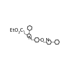 CCOC(=O)CCc1cn(Cc2ccc(OCc3ccc(-c4ccccc4)cn3)cc2)cc1-c1ccccc1